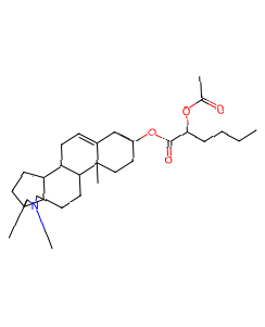 CCCCC(OC(C)=O)C(=O)OC1CCC2(C)C(=CCC3C2CCC24CN(C)C(C)C2CCC34)C1